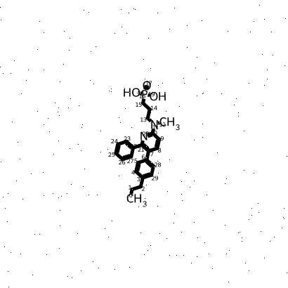 CCCc1ccc(-c2ccc(N(C)CCCP(=O)(O)O)nc2-c2ccccc2)cc1